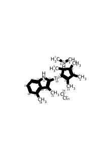 CC1=C(C)C(C)([SiH](C)C)[C]([Ti+2][c]2[nH]c3cccc(C)c3c2C)=C1C.[Cl-].[Cl-]